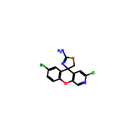 NC1=NC2(CS1)c1cc(Br)ccc1Oc1cnc(Cl)cc12